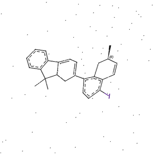 C[C@H]1C=Cc2c(I)ccc(C3=CC=C4c5ccccc5C(C)(C)C4C3)c2C1